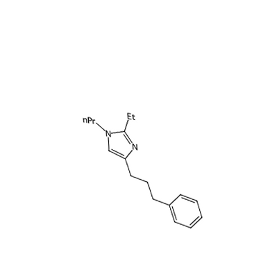 CCCn1cc(CCCc2ccccc2)nc1CC